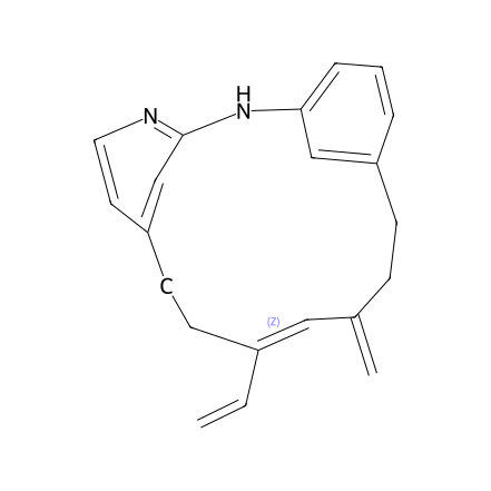 C=C/C1=C\C(=C)CCc2cccc(c2)Nc2cc(ccn2)CC1